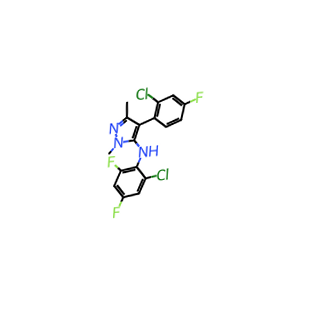 Cc1nn(C)c(Nc2c(F)cc(F)cc2Cl)c1-c1ccc(F)cc1Cl